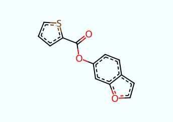 O=C(Oc1ccc2ccoc2c1)c1cccs1